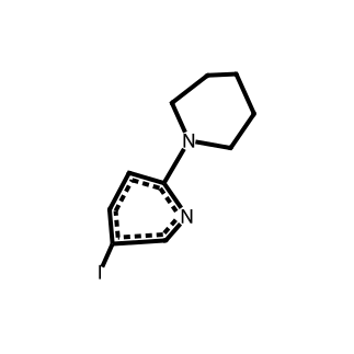 Ic1ccc(N2CCCCC2)nc1